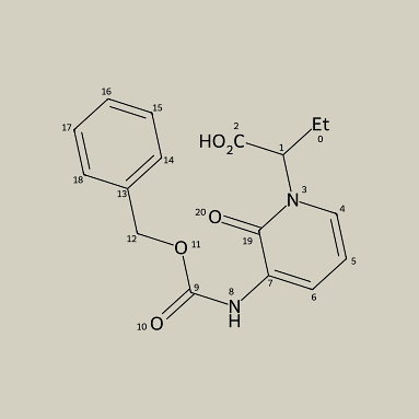 CCC(C(=O)O)n1cccc(NC(=O)OCc2ccccc2)c1=O